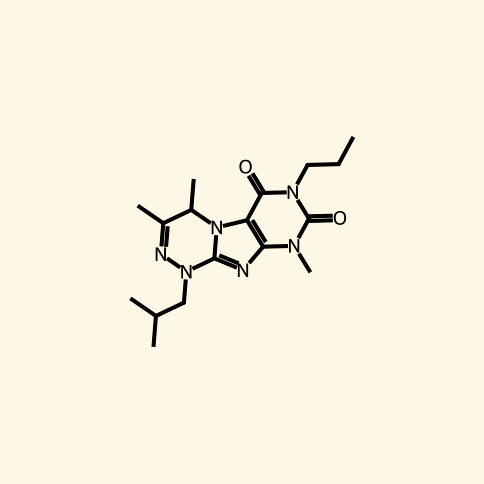 CCCn1c(=O)c2c(nc3n2C(C)C(C)=NN3CC(C)C)n(C)c1=O